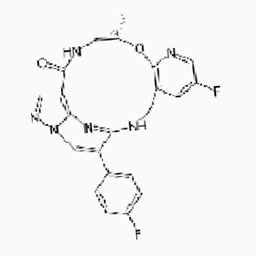 C[C@H]1CNC(=O)c2cnn3cc(-c4ccc(F)cc4)c(nc23)NCc2cc(F)cnc2O1